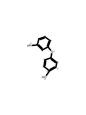 CCCc1cccc(Oc2ccc(O)cc2)c1